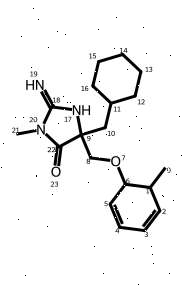 CC1C=CC=CC1OCC1(CC2CCCCC2)NC(=N)N(C)C1=O